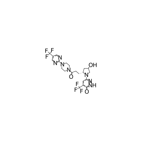 O=C(CC[C@@H]1C[C@@H](O)CN1c1cc(C(F)(F)F)c(=O)[nH]n1)N1CCN(c2ncc(C(F)(F)F)cn2)CC1